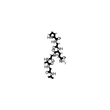 CC(C)NC(=O)CNC(=O)C(C)NC(=O)CNC(=O)C(CCC(N)=O)NC(=O)CNC(=O)C1CCCN1